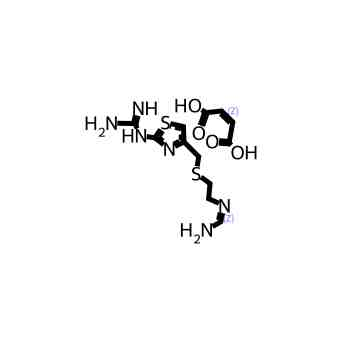 N=C(N)Nc1nc(CSCC/N=C\N)cs1.O=C(O)/C=C\C(=O)O